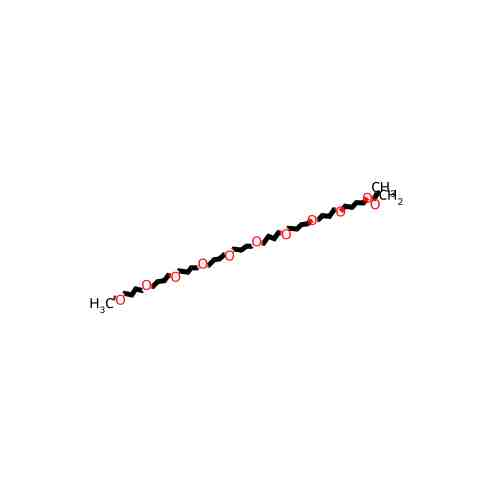 C=C(C)C(=O)OCCCCOCCCCOCCCCOCCCCOCCCCOCCCCOCCCCOCCCCOCCCCOCC